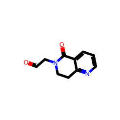 O=CCN1CCc2ncccc2C1=O